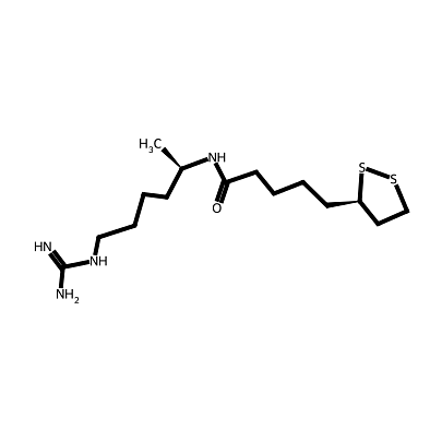 C[C@H](CCCCNC(=N)N)NC(=O)CCCC[C@@H]1CCSS1